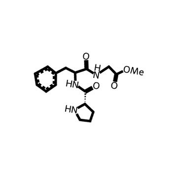 COC(=O)CNC(=O)C(Cc1ccccc1)NC(=O)[C@@H]1CCCN1